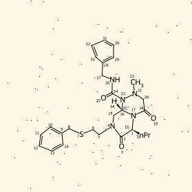 CCC[C@H]1C(=O)N(CCSCc2ccccc2)C[C@H]2N1C(=O)CN(C)N2C(=O)NCc1ccccc1